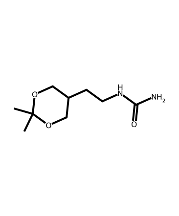 CC1(C)OCC(CCNC(N)=O)CO1